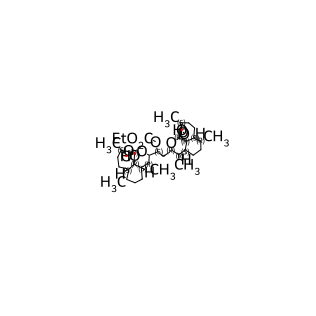 CCOC(=O)O[C@@H](C[C@H]1O[C@@H]2O[C@]3(C)CC[C@H]4[C@H](C)CC[C@@H]([C@H]1C)[C@@]24OO3)C1O[C@@H]2O[C@]3(C)CC[C@H]4C(C)CC[C@@H]([C@H]1C)[C@@]24OO3